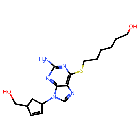 Nc1nc(SCCCCCCO)c2ncn(C3C=CC(CO)C3)c2n1